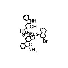 NC(=O)c1ccccc1-c1cc2c(c(S(=O)(=O)N[C@@H](CO)Cc3c[nH]c4ccccc34)c1)OCC2.O=S(=O)(O)c1cc(Br)cc2c1OCC2